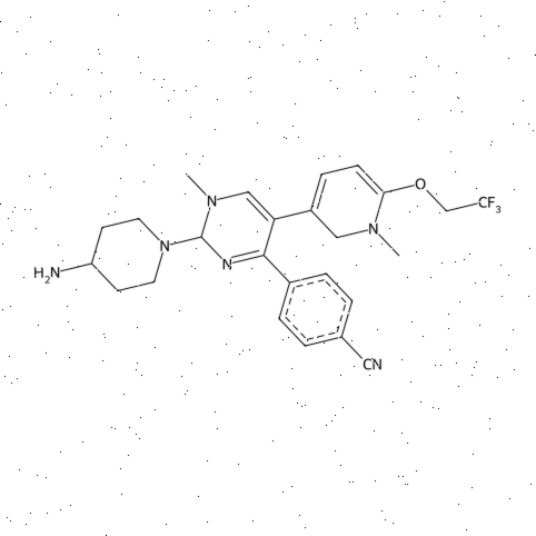 CN1CC(C2=CN(C)C(N3CCC(N)CC3)N=C2c2ccc(C#N)cc2)=CC=C1OCC(F)(F)F